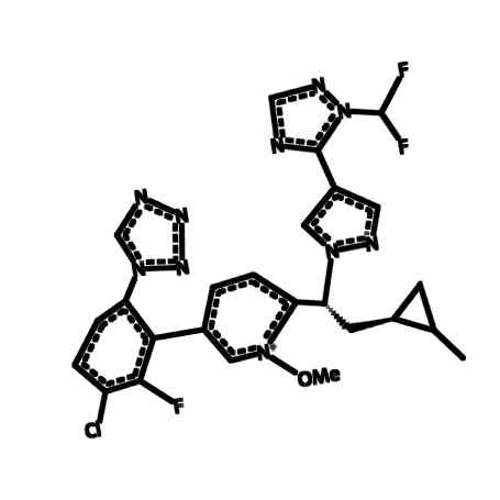 CO[n+]1cc(-c2c(-n3cnnn3)ccc(Cl)c2F)ccc1[C@@H](C[C@H]1CC1C)n1cc(-c2ncnn2C(F)F)cn1